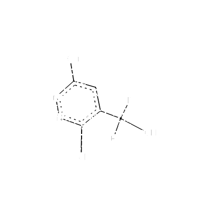 Cc1cc(C(C)(F)F)c(Cl)nn1